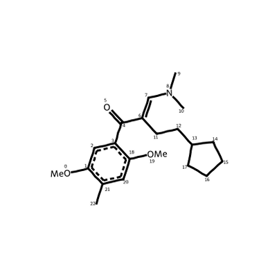 COc1cc(C(=O)C(=CN(C)C)CCC2CCCC2)c(OC)cc1C